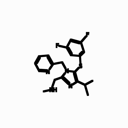 CNCc1nc(C(C)C)c(Sc2cc(F)cc(F)c2)n1Cc1ccccn1